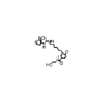 N#CN=C(NCCCCCCn1cc(C(=O)NCCO)ccc1=O)Nc1ccncc1